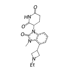 CCN1CC(c2cccc3c2n(C)c(=O)n3C2CCC(=O)NC2=O)C1